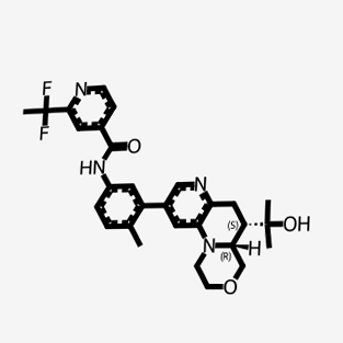 Cc1ccc(NC(=O)c2ccnc(C(C)(F)F)c2)cc1-c1cnc2c(c1)N1CCOC[C@H]1[C@@H](C(C)(C)O)C2